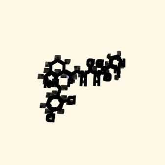 Cn1nccc1S(=O)(=O)NC(=O)NC/C(F)=C1\CCCc2cnn(Cc3ccc(Cl)cc3Cl)c21